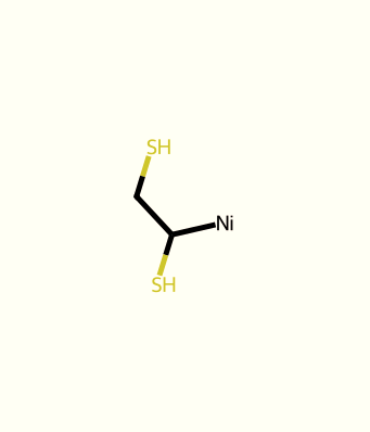 SC[CH](S)[Ni]